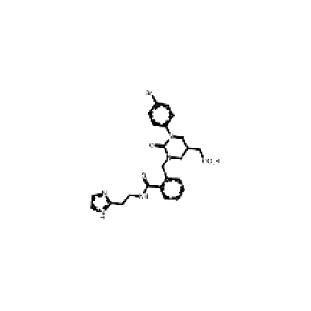 O=C(O)CC1CN(Cc2ccccc2C(=O)NCCc2ncc[nH]2)C(=O)N(c2ccc(Br)cc2)C1